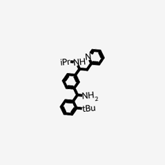 CC(C)NC(Cc1ccccn1)c1cccc(C(N)c2ccccc2C(C)(C)C)c1